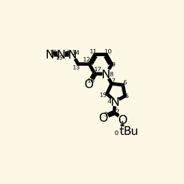 CC(C)(C)OC(=O)N1CCC(n2cccc(CN=[N+]=[N-])c2=O)C1